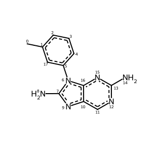 Cc1cccc(-n2c(N)nc3cnc(N)nc32)c1